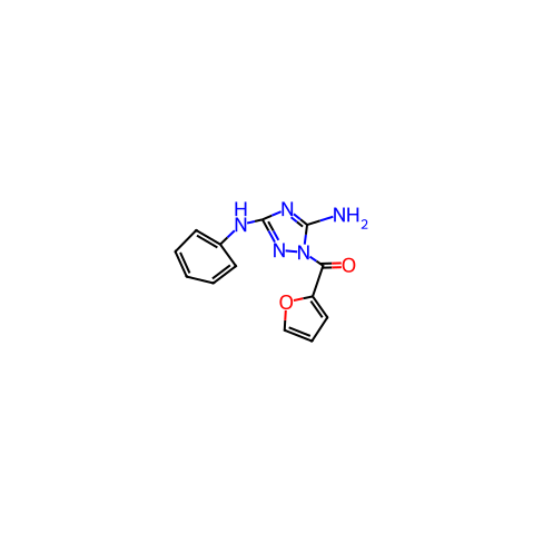 Nc1nc(Nc2ccccc2)nn1C(=O)c1ccco1